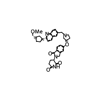 COC[C@H]1CC[C@@H](c2ccc3cc(CN4CC[C@H](Oc5ccc6c(c5)CN(C5CCC(=O)NC5=O)C6=O)C4)ccc3n2)C1